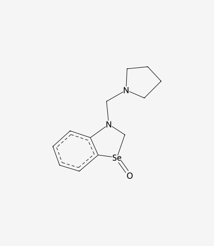 O=[Se]1CN(CN2CCCC2)c2ccccc21